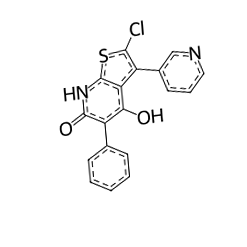 O=c1[nH]c2sc(Cl)c(-c3cccnc3)c2c(O)c1-c1ccccc1